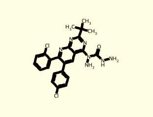 CC(C)(C)c1nc(N(N)C(=O)NN)c2cc(-c3ccc(Cl)cc3)c(-c3ccccc3Cl)nc2n1